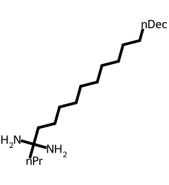 CCCCCCCCCCCCCCCCCCCCC(N)(N)CCC